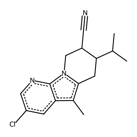 Cc1c2n(c3ncc(Cl)cc13)CC(C#N)C(C(C)C)C2